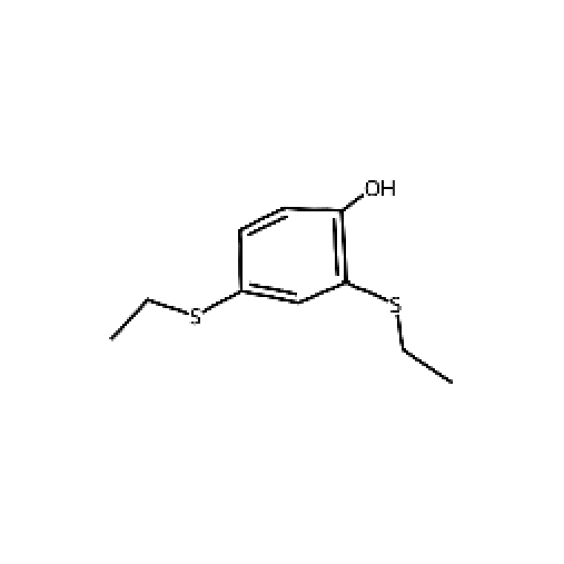 CCSc1ccc(O)c(SCC)c1